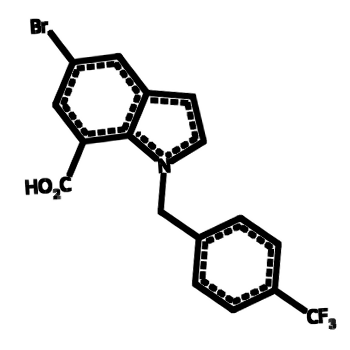 O=C(O)c1cc(Br)cc2ccn(Cc3ccc(C(F)(F)F)cc3)c12